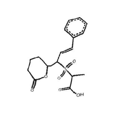 CC(C(=O)O)S(=O)(=O)C(C=Cc1ccccc1)C1CCCC(=O)O1